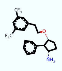 N[C@H]1CC[C@@H](OCCc2cc(C(F)(F)F)cc(C(F)(F)F)c2)[C@@H]1c1ccccc1